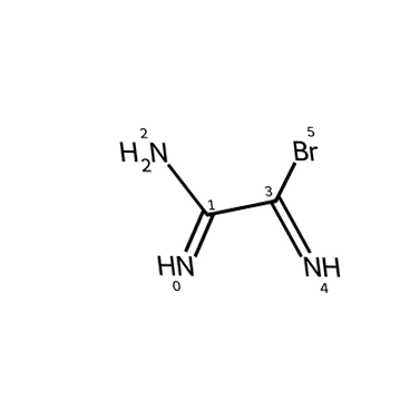 N=C(N)C(=N)Br